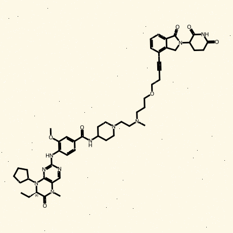 CC[C@@H]1C(=O)N(C)c2cnc(Nc3ccc(C(=O)NC4CCN(CCN(C)CCCOCCC#Cc5cccc6c5CN(C5CCC(=O)NC5=O)C6=O)CC4)cc3OC)nc2N1C1CCCC1